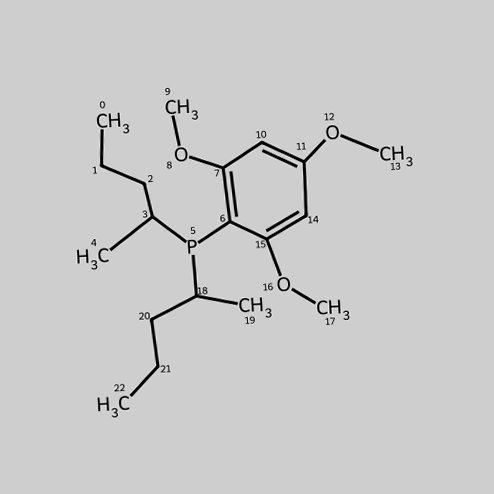 CCCC(C)P(c1c(OC)cc(OC)cc1OC)C(C)CCC